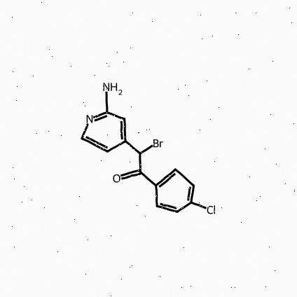 Nc1cc(C(Br)C(=O)c2ccc(Cl)cc2)ccn1